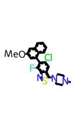 COc1cc(-c2c(Cl)cc3c(N4CCN(C)CC4)snc3c2F)c2ccccc2c1